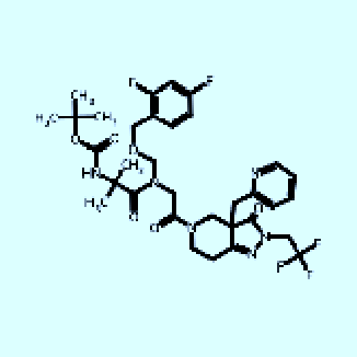 CC(C)(C)OC(=O)NC(C)(C)C(=O)N(COCc1ccc(F)cc1F)CC(=O)N1CCC2=NN(CC(F)(F)F)C(=O)C2(Cc2ccccn2)C1